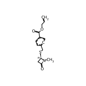 C=CCOC(=O)c1ccc(CS[C@@H]2CC(=O)N2C)cc1